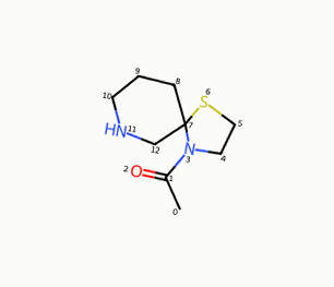 CC(=O)N1CCSC12CCCNC2